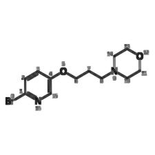 Brc1ccc(OCCCN2CCOCC2)cn1